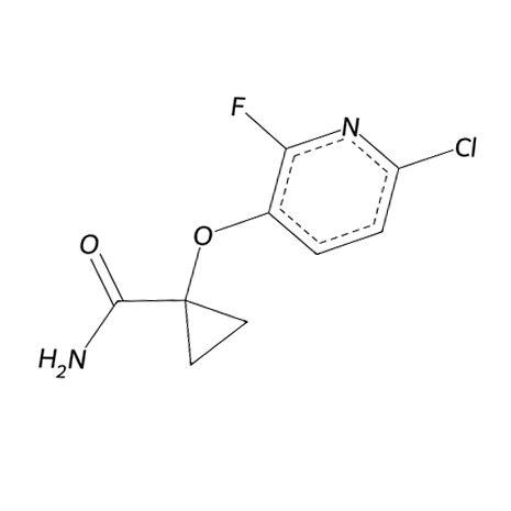 NC(=O)C1(Oc2ccc(Cl)nc2F)CC1